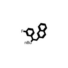 CCCCC(Cc1ccc2ccccc2c1)c1cccc(F)c1